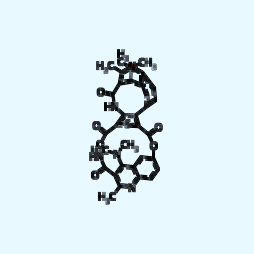 Cc1nc2ccc3cc2c(N(C)C)c1C(=O)NOC(=O)c1sc(c2c1NC(=O)c1c(C)nc4ccc-2cc4c1N(C)C)C(=O)O3